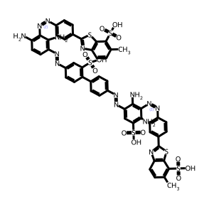 Cc1ccc2nc(-c3ccc(/N=N\c4c(N)ccc(N=Nc5ccc(-c6ccc(N=Nc7cc(S(=O)(=O)O)c(N)c(/N=N\c8ccc(-c9nc%10ccc(C)c(S(=O)(=O)O)c%10s9)cc8)c7N)cc6)c(S(=O)(=O)O)c5)c4N)cc3)sc2c1S(=O)(=O)O